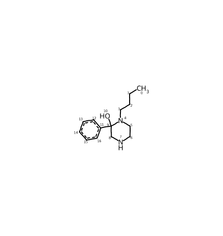 CCCCN1CCNCC1(O)c1ccccc1